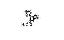 COC(=O)c1cc(N2CCNCC2)c2cc[nH]c2c1